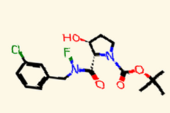 CC(C)(C)OC(=O)N1CC[C@H](O)[C@H]1C(=O)N(F)Cc1cccc(Cl)c1